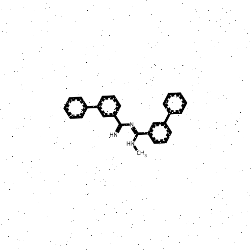 CN/C(=N\C(=N)c1cccc(-c2ccccc2)c1)c1cccc(-c2ccccc2)c1